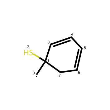 [CH2]C1(S)C=CC=CC1